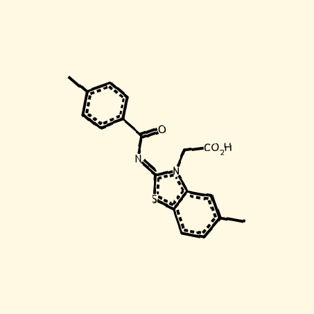 Cc1ccc(C(=O)N=c2sc3ccc(C)cc3n2CC(=O)O)cc1